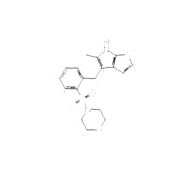 Cc1[nH]c2sccc2c1Cc1ccccc1S(=O)(=O)N1CCOCC1